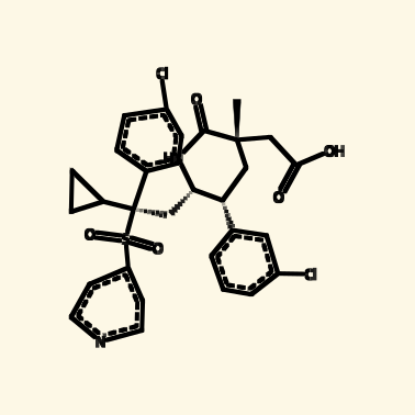 C[C@@]1(CC(=O)O)C[C@H](c2cccc(Cl)c2)[C@H](C[C@@](c2ccc(Cl)cc2)(C2CC2)S(=O)(=O)c2ccncc2)NC1=O